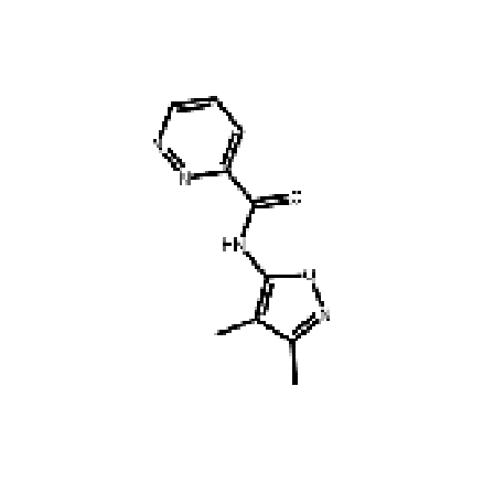 Cc1noc(NC(=O)c2cccnn2)c1C